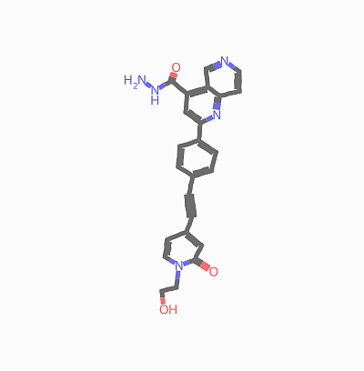 NNC(=O)c1cc(-c2ccc(C#Cc3ccn(CCO)c(=O)c3)cc2)nc2ccncc12